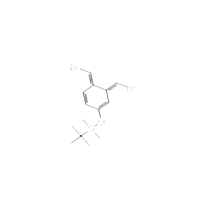 CC(C)(C)[Si](C)(C)Oc1ccc(=C\Br)/c(=C/Br)c1